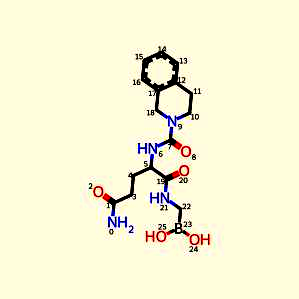 NC(=O)CCC(NC(=O)N1CCc2ccccc2C1)C(=O)NCB(O)O